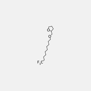 FC(F)(F)CCCCCCCCCOCC1CCCO1